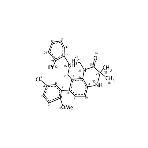 COc1ccc(Cl)cc1-c1ccc2c(c1CNc1ccccc1C(C)C)N(C)C(=O)C(C)(C)N2